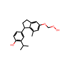 Cc1cc(OCOO)cc2c1C(c1ccc(O)c(C(C)C)c1)CC2